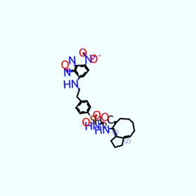 C=C1CCCC/C=C2/CCC/C2=C/1NC(=O)NS(=O)(=O)c1ccc(CCNc2ccc([N+](=O)[O-])c3nonc23)cc1